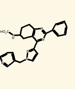 O=C(O)NC1CCc2nc(-c3ccccc3)nc(-c3ccn(Cc4cccnc4)n3)c2C1